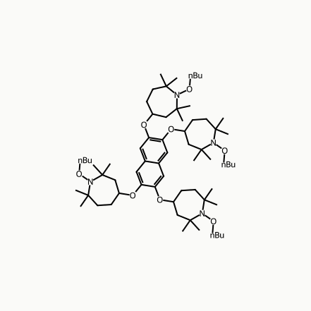 CCCCON1C(C)(C)CCC(Oc2cc3cc(OC4CCC(C)(C)N(OCCCC)C(C)(C)C4)c(OC4CCC(C)(C)N(OCCCC)C(C)(C)C4)cc3cc2OC2CCC(C)(C)N(OCCCC)C(C)(C)C2)CC1(C)C